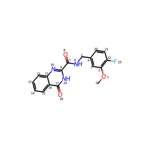 COc1cc(CNC(=O)c2nc3ccccc3c(=O)[nH]2)ccc1F